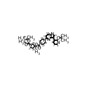 CC(C)Oc1ncccc1-c1cnn2ccc(N3CCN(C(=O)OC4(C)CCN(C(=O)OC(C)(C)C)C4)CC3)nc12